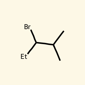 CCC(Br)[C](C)C